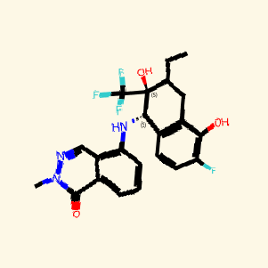 CCC1Cc2c(ccc(F)c2O)[C@H](Nc2cccc3c(=O)n(C)ncc23)[C@]1(O)C(F)(F)F